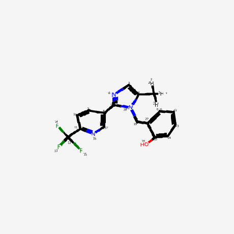 [2H]C([2H])([2H])c1cnc(-c2ccc(C(F)(F)F)nc2)n1Cc1ccccc1O